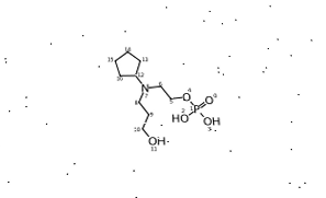 O=P(O)(O)OCCN(CCCO)C1CCCC1